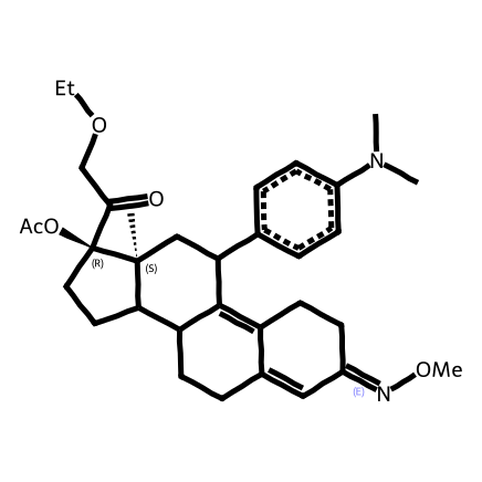 CCOCC(=O)[C@@]1(OC(C)=O)CCC2C3CCC4=C/C(=N/OC)CCC4=C3C(c3ccc(N(C)C)cc3)C[C@@]21C